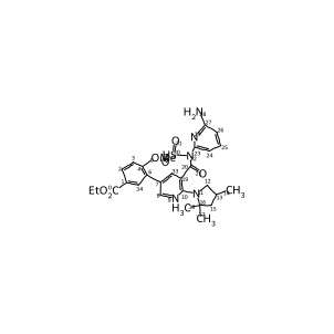 CCOC(=O)c1ccc(OC)c(-c2cnc(N3CC(C)CC3(C)C)c(C(=O)N(c3cccc(N)n3)[SH](=O)=O)c2)c1